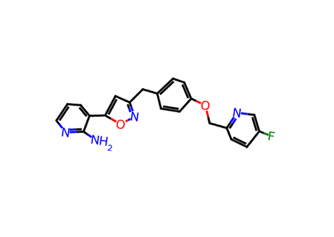 Nc1ncccc1-c1cc(Cc2ccc(OCc3ccc(F)cn3)cc2)no1